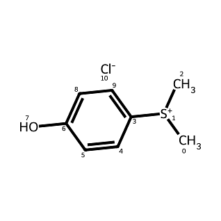 C[S+](C)c1ccc(O)cc1.[Cl-]